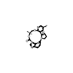 C[C@H]1COc2ncc(F)cc2[C@H]2CCCN2c2ccc3ncn(c3n2)C(=O)O1